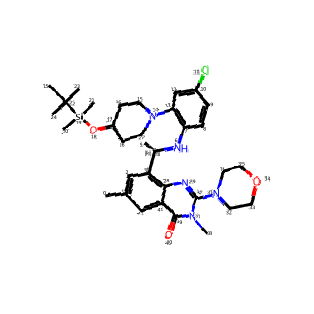 Cc1cc([C@@H](C)Nc2ccc(Cl)cc2N2CCC(O[Si](C)(C)C(C)(C)C)CC2)c2nc(N3CCOCC3)n(C)c(=O)c2c1